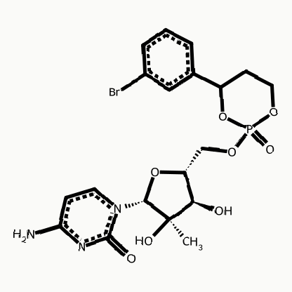 C[C@@]1(O)[C@H](O)[C@@H](COP2(=O)OCCC(c3cccc(Br)c3)O2)O[C@H]1n1ccc(N)nc1=O